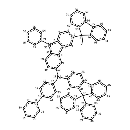 CC1(c2ccc3c(c2)c2cc(N(c4ccc(-c5ccccc5)cc4)c4ccc5c(c4)C(c4ccccc4)(c4ccccc4)c4ccccc4-5)ccc2n3-c2ccccc2)c2ccccc2-c2ccccc21